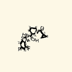 O=C(C1CC1)N1CCCC(C(O)Nc2nc3c(F)cc(F)cc3s2)C1